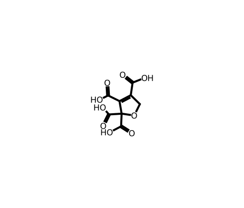 O=C(O)C1=C(C(=O)O)C(C(=O)O)(C(=O)O)OC1